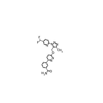 Cc1nnn(-c2ccc(C(F)F)cn2)c1COc1ccc(-c2cccc(C(N)=O)c2)nn1